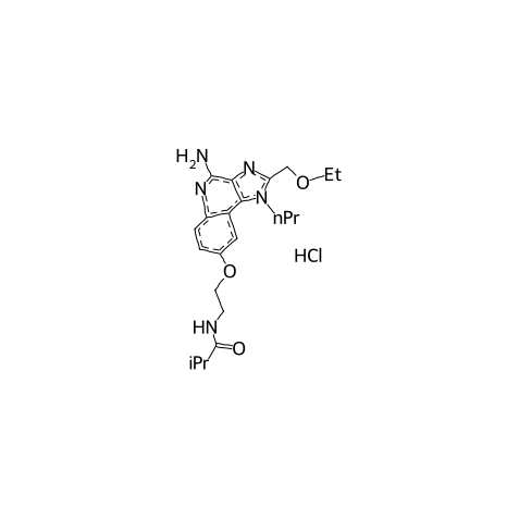 CCCn1c(COCC)nc2c(N)nc3ccc(OCCNC(=O)C(C)C)cc3c21.Cl